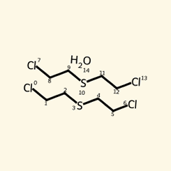 ClCCSCCCl.ClCCSCCCl.O